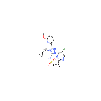 COc1cccc(-c2nnc(NS(=O)(=O)C(C)C(C)c3ncc(Cl)cn3)n2[C@@H]2CC23CC3)n1